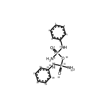 NP(=O)(Nc1ccccc1)OP(N)(=O)Nc1ccccc1